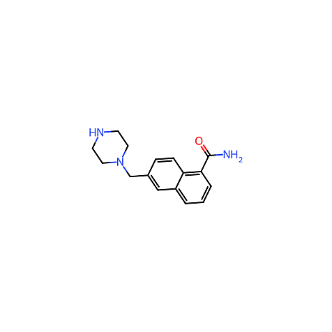 NC(=O)c1cccc2cc(CN3CCNCC3)ccc12